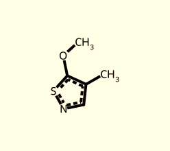 COc1sncc1C